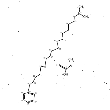 CCC(=O)O.CN(C)CCCCCCCCCCCCCCCCCc1ccccc1